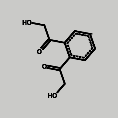 O=C(CO)c1c[c]ccc1C(=O)CO